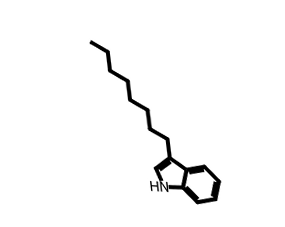 CCCCCCCCc1c[nH]c2ccccc12